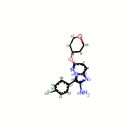 Nc1nc2ccc(OC3CCOCC3)nn2c1-c1ccc(F)cc1